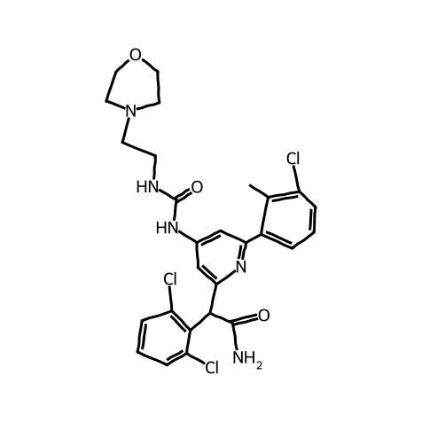 Cc1c(Cl)cccc1-c1cc(NC(=O)NCCN2CCOCC2)cc(C(C(N)=O)c2c(Cl)cccc2Cl)n1